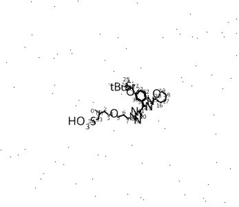 C[C@@H](CCOCCCn1ncc(-c2nn(C3CCCCO3)c3ccc(O[Si](C)(C)C(C)(C)C)cc23)n1)CS(=O)(=O)O